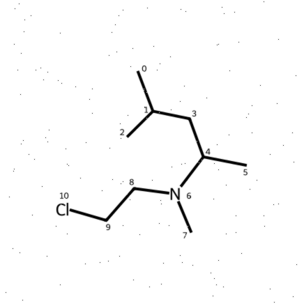 CC(C)CC(C)N(C)CCCl